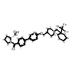 O=C(c1ccc(-c2ccc(OCC3CCN(CC4(C(F)(F)F)CCCCC4)CC3)nc2)cc1)N1CCC[C@@H]1CO